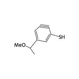 COC(C)c1cc#cc(S)c1